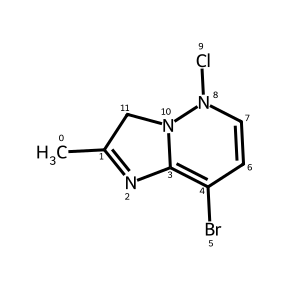 CC1=NC2=C(Br)C=CN(Cl)N2C1